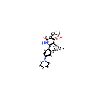 CCc1c(-c2ccc(N3CCCCC3)cc2OC)[nH]c(=O)c(C(=O)O)c1O